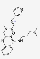 CN(C)CCCNc1nc(CN(C)C(=O)/C=C/c2ccsc2)nc2ccccc12